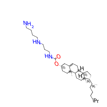 CC(C)CCC[C@@H](C)[C@H]1CC[C@H]2[C@@H]3CC=C4C[C@@H](OC(=O)NCCCNCCCCN)CC[C@]4(C)C3CC[C@]12C